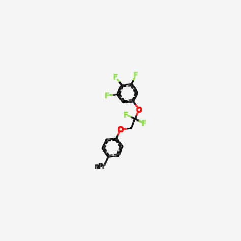 CCCc1ccc(OCC(F)(F)Oc2cc(F)c(F)c(F)c2)cc1